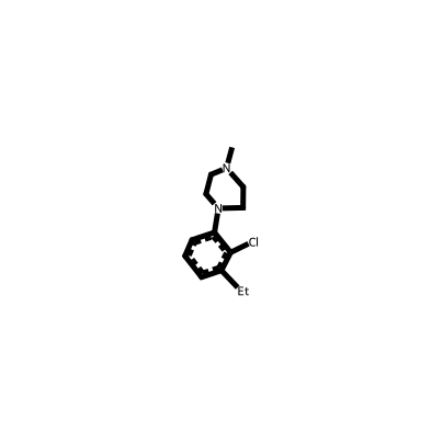 CCc1cccc(N2CCN(C)CC2)c1Cl